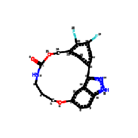 O=C1NCCCOc2ccc3[nH]nc(c3c2)-c2cc(F)c(F)c(c2)CO1